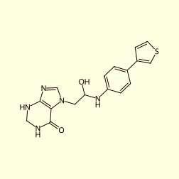 O=C1NCNc2ncn(CC(O)Nc3ccc(-c4ccsc4)cc3)c21